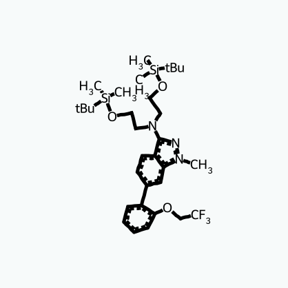 Cn1nc(N(CCO[Si](C)(C)C(C)(C)C)CCO[Si](C)(C)C(C)(C)C)c2ccc(-c3ccccc3OCC(F)(F)F)cc21